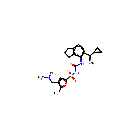 Cc1oc(S(=O)(=O)NC(=O)Nc2c(C(C)C3CC3)ccc3c2CCC3)cc1CN(C)C